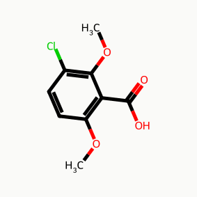 COc1ccc(Cl)c(OC)c1C(=O)O